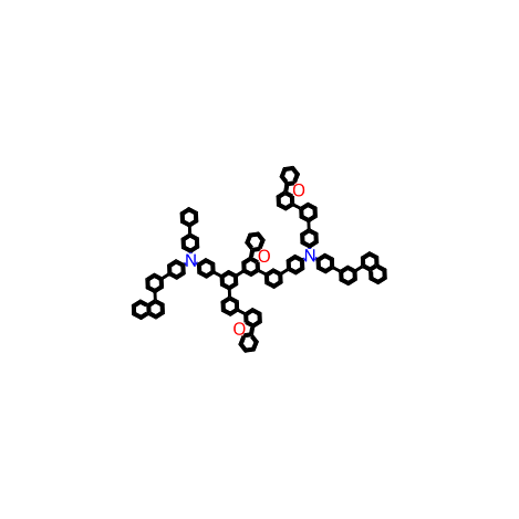 c1ccc(-c2ccc(N(c3ccc(-c4cc(-c5cccc(-c6cccc7c6oc6ccccc67)c5)cc(-c5cc(-c6cccc(-c7ccc(N(c8ccc(-c9cccc(-c%10cccc%11ccccc%10%11)c9)cc8)c8ccc(-c9cccc(-c%10cccc%11c%10oc%10ccccc%10%11)c9)cc8)cc7)c6)c6oc7ccccc7c6c5)c4)cc3)c3ccc(-c4cccc(-c5cccc6ccccc56)c4)cc3)cc2)cc1